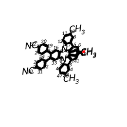 Cc1ccc2c(c1)c1cc(C)ccc1n2-c1cc(-c2ccc(C#N)cc2)c(-c2ccc(C#N)cc2)cc1-n1c2ccc(C)cc2c2cc(C)ccc21